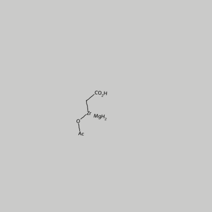 CC(=O)[O][Zr][CH2]C(=O)O.[MgH2]